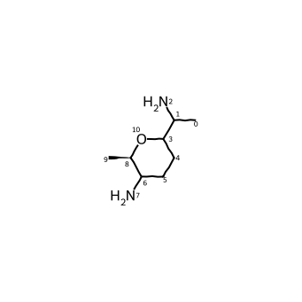 CC(N)C1CCC(N)[C@@H](C)O1